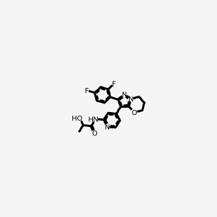 CC(O)C(=O)Nc1cc(-c2c(-c3ccc(F)cc3F)nn3c2OCCC3)ccn1